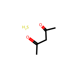 CC(=O)CC(C)=O.S